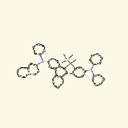 CC1([Si](C)(C)C)c2cc(N(c3ccccc3)c3ccccc3)ccc2-c2c1c1ccc(N(c3ccccc3)c3ccc4ccccc4c3)cc1c1ccccc21